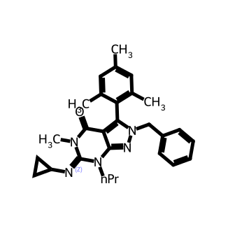 CCCn1/c(=N/C2CC2)n(C)c(=O)c2c(-c3c(C)cc(C)cc3C)n(Cc3ccccc3)nc21